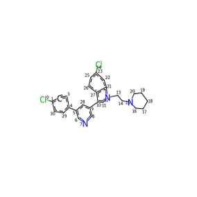 Clc1ccc(-c2cncc(-c3cn(CCN4CCCCC4)c4cc(Cl)ccc34)c2)cc1